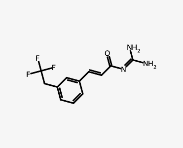 NC(N)=NC(=O)/C=C/c1cccc(CC(F)(F)F)c1